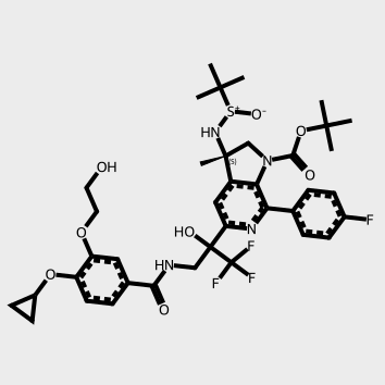 CC(C)(C)OC(=O)N1C[C@@](C)(N[S+]([O-])C(C)(C)C)c2cc(C(O)(CNC(=O)c3ccc(OC4CC4)c(OCCO)c3)C(F)(F)F)nc(-c3ccc(F)cc3)c21